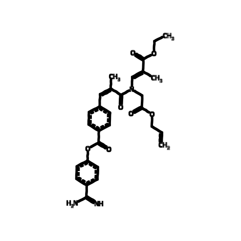 C=CCOC(=O)CN(C=C(C)C(=O)OCC)C(=O)C(C)=Cc1ccc(C(=O)Oc2ccc(C(=N)N)cc2)cc1